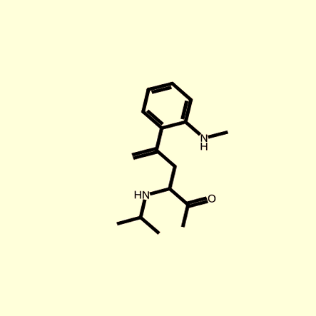 C=C(CC(NC(C)C)C(C)=O)c1ccccc1NC